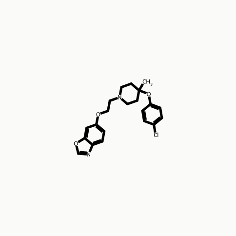 CC1(Oc2ccc(Cl)cc2)CCN(CCOc2ccc3ncoc3c2)CC1